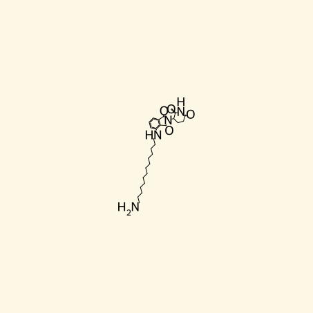 NCCCCCCCCCCCCCCNc1cccc2c1C(=O)N(C1CCC(=O)NC1=O)C2=O